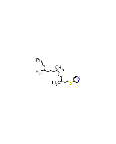 CC(C)CCCC(C)CCCC(C)CCCC(C)CCSc1ccncc1